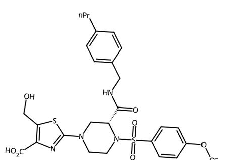 CCCc1ccc(CNC(=O)[C@H]2CN(c3nc(C(=O)O)c(CO)s3)CCN2S(=O)(=O)c2ccc(OC(F)(F)F)cc2)cc1